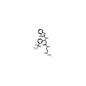 CNCCNC(=O)CC(Nc1nc2ccccc2[nH]1)c1cccc(C(C)(F)F)c1